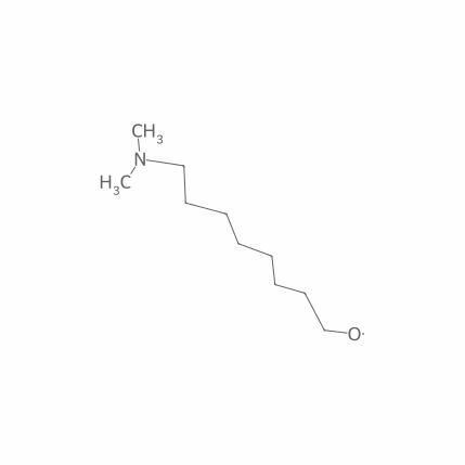 CN(C)CCCCCCCC[O]